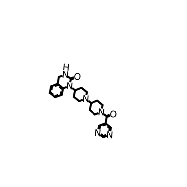 O=C(c1cncnc1)N1CCC(N2CCC(N3C(=O)NCc4ccccc43)CC2)CC1